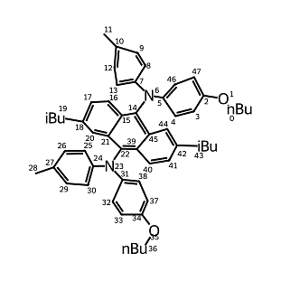 CCCCOc1ccc(N(c2ccc(C)cc2)c2c3ccc(C(C)CC)cc3c(N(c3ccc(C)cc3)c3ccc(OCCCC)cc3)c3ccc(C(C)CC)cc23)cc1